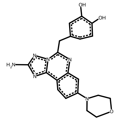 Nc1nc2c3ccc(N4CCOCC4)cc3nc(Cc3ccc(O)c(O)c3)n2n1